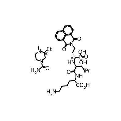 CC(C)CC(N[C@H](CCN1C(=O)c2cccc3cccc(c23)C1=O)P(=O)(O)O)C(=O)NC(CCCCN)C(=O)O.CC[C@H]1CN(C(N)=O)CCN1C